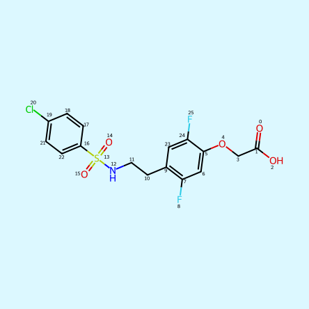 O=C(O)COc1cc(F)c(CCNS(=O)(=O)c2ccc(Cl)cc2)cc1F